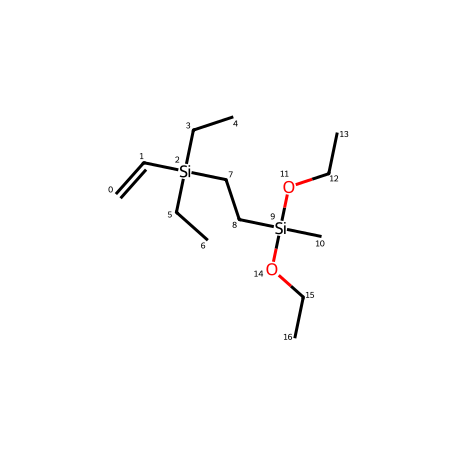 C=C[Si](CC)(CC)CC[Si](C)(OCC)OCC